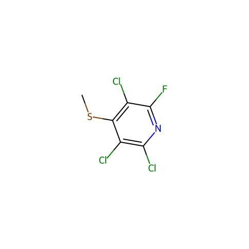 CSc1c(Cl)c(F)nc(Cl)c1Cl